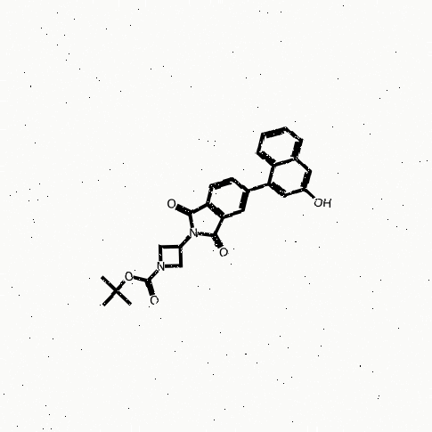 CC(C)(C)OC(=O)N1CC(N2C(=O)c3ccc(-c4cc(O)cc5ccccc45)cc3C2=O)C1